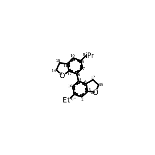 CCc1cc2c(c(-c3cc(C(C)C)cc4c3OCC4)c1)CCO2